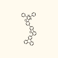 c1ccc(-c2nc(-c3ccccc3)c3oc4ccc(-c5ccc6c(c5)oc5c(-c7ccc8c9ccccc9c9ccccc9c8c7)cccc56)cc4c3n2)cc1